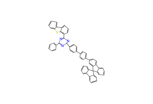 c1ccc(-c2nc(-c3ccc(-c4ccc(-c5ccc6c(c5)C5(c7ccccc7-c7ccccc75)c5ccccc5-6)cc4)cc3)nc(-c3cccc4c3sc3ccccc34)n2)cc1